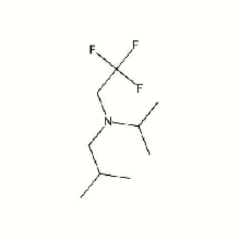 CC(C)CN(CC(F)(F)F)C(C)C